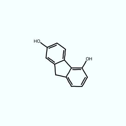 Oc1ccc2c(c1)Cc1cccc(O)c1-2